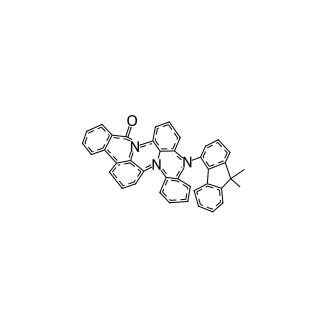 CC1(C)c2ccccc2-c2c(-n3c4cccc5c4-n(c4ccccc43)c3cccc4c6ccccc6c(=O)n5c43)cccc21